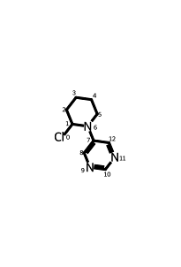 ClC1CCCCN1c1cncnc1